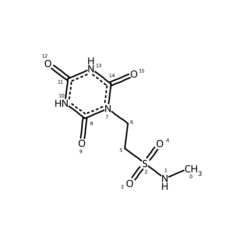 CNS(=O)(=O)CCn1c(=O)[nH]c(=O)[nH]c1=O